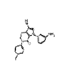 N#Cc1nn(-c2cccc(N)c2)c2c1CCN(c1ccc(I)cc1)C2=O